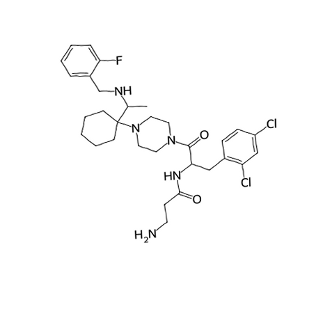 CC(NCc1ccccc1F)C1(N2CCN(C(=O)C(Cc3ccc(Cl)cc3Cl)NC(=O)CCN)CC2)CCCCC1